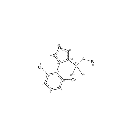 Clc1cccc(Cl)c1-c1nocc1C1(CBr)CC1